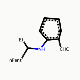 CCCCCC(CC)Nc1ccccc1[C]=O